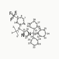 CC(C)(C)[C](c1cccc(C(F)(F)F)c1)c1cn(C(c2ccccc2)(c2ccccc2)c2ccccc2)cn1